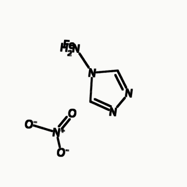 Nn1cnnc1.O=[N+]([O-])[O-].[Fe]